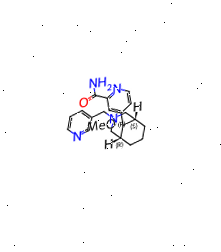 CO[C@@]1(c2ccnc(C(N)=O)c2)[C@@H]2CCC[C@H]1CN(Cc1cccnc1)C2